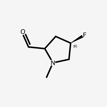 CN1C[C@H](F)CC1C=O